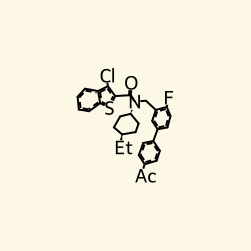 CC[C@H]1CC[C@H](N(Cc2cc(-c3ccc(C(C)=O)cc3)ccc2F)C(=O)c2sc3ccccc3c2Cl)CC1